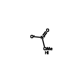 CO[N+](=O)[O-].I